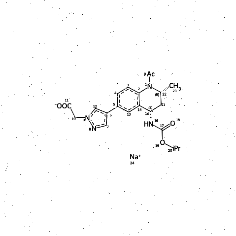 CC(=O)N1c2ccc(-c3cnn(CC(=O)[O-])c3)cc2[C@@H](NC(=O)OC(C)C)C[C@H]1C.[Na+]